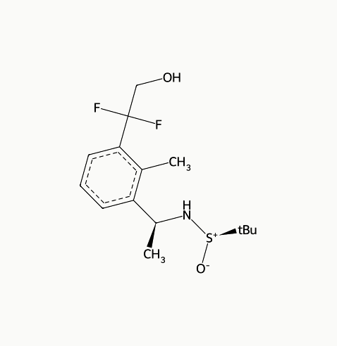 Cc1c([C@H](C)N[S@+]([O-])C(C)(C)C)cccc1C(F)(F)CO